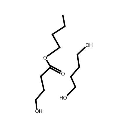 CCCCOC(=O)CCCO.OCCCCO